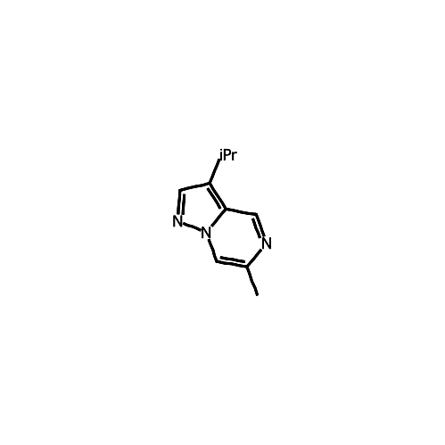 Cc1cn2ncc(C(C)C)c2cn1